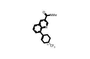 CNC(=O)c1cnc2c(C3=CC[C@@H](C(F)(F)F)CC3)cccc2c1